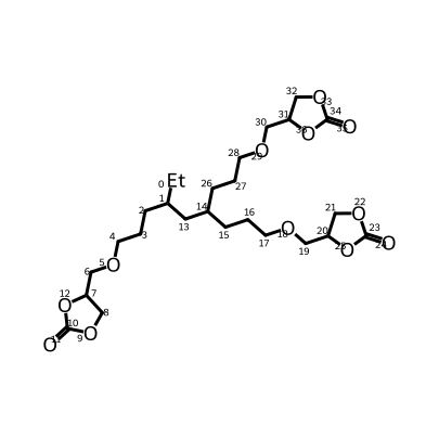 CCC(CCCOCC1COC(=O)O1)CC(CCCOCC1COC(=O)O1)CCCOCC1COC(=O)O1